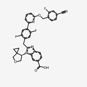 N#Cc1ccc(COc2cccc(-c3cc(F)c(Cc4nc5ccc(C(=O)O)cc5n4[C@H]4COCC45CC5)cc3F)n2)c(F)c1